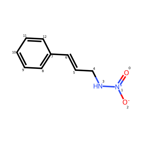 O=[N+]([O-])NCC=Cc1ccccc1